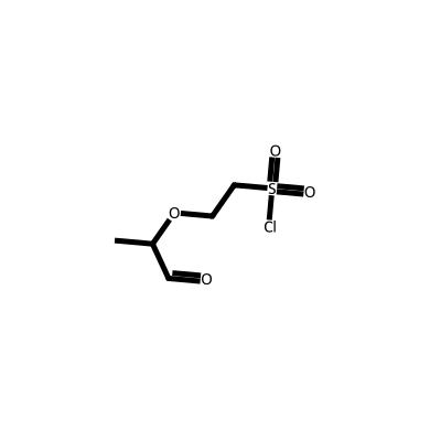 CC(C=O)OCCS(=O)(=O)Cl